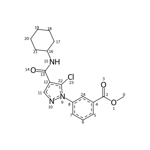 COC(=O)c1cccc(-n2ncc(C(=O)NC3CCCCC3)c2Cl)c1